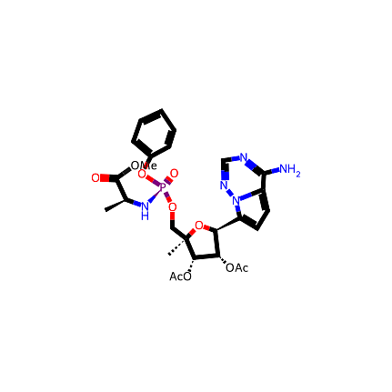 COC(=O)[C@H](C)N[P@@](=O)(OC[C@@]1(C)O[C@@H](c2ccc3c(N)ncnn23)[C@H](OC(C)=O)[C@@H]1OC(C)=O)Oc1ccccc1